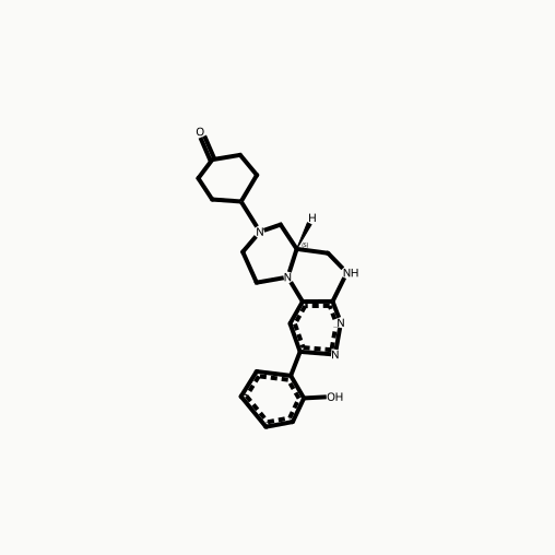 O=C1CCC(N2CCN3c4cc(-c5ccccc5O)nnc4NC[C@H]3C2)CC1